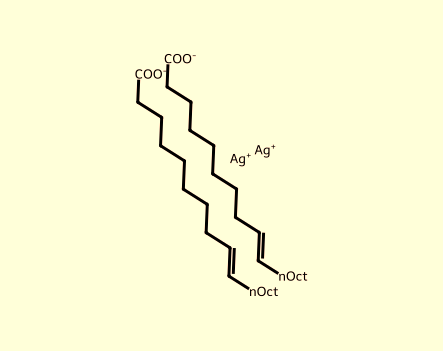 CCCCCCCCC=CCCCCCCCC(=O)[O-].CCCCCCCCC=CCCCCCCCC(=O)[O-].[Ag+].[Ag+]